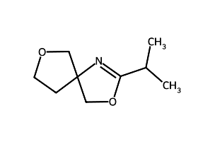 CC(C)C1=NC2(CCOC2)CO1